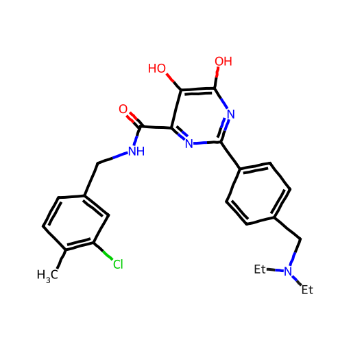 CCN(CC)Cc1ccc(-c2nc(O)c(O)c(C(=O)NCc3ccc(C)c(Cl)c3)n2)cc1